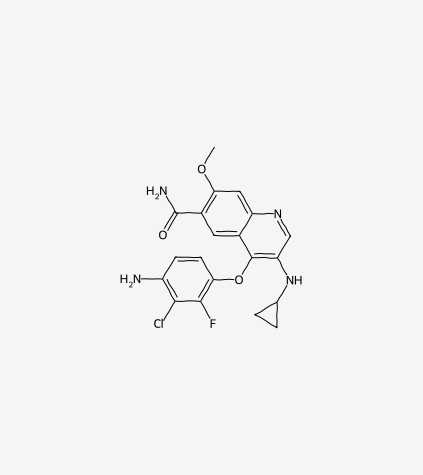 COc1cc2ncc(NC3CC3)c(Oc3ccc(N)c(Cl)c3F)c2cc1C(N)=O